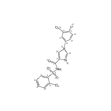 O=C(NS(=O)(=O)c1ccccc1Cl)c1cn(-c2ccc(Cl)c(Cl)c2)cn1